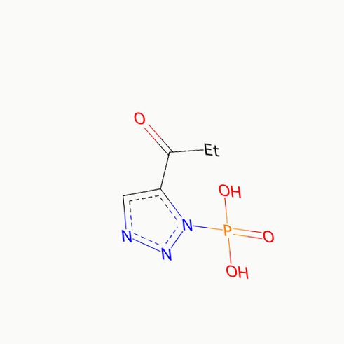 CCC(=O)c1cnnn1P(=O)(O)O